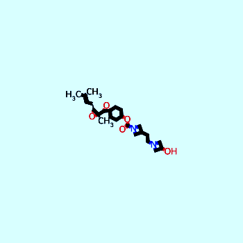 CC(C)=CC[C@H]1O[C@@]1(C)C1OC12CCC(OC(=O)N1CC(CCN3CC(O)C3)C1)CC2